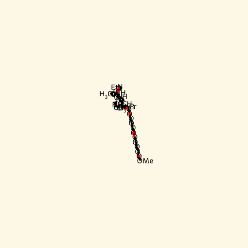 CCn1nccc1C(=O)N[C@H](C(=O)Nc1ccc([C@H](C)[C@@H](NC(=O)N(C)C2CC2)C(=O)N2CCC(OCCOCCOCCOCCOCCOCCOCCOCCOCCOCCOCCOC)(C(C)C)CC2)cc1F)C1CCC(C)CC1